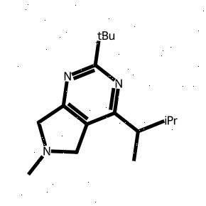 CC(C)C(C)c1nc(C(C)(C)C)nc2c1CN(C)C2